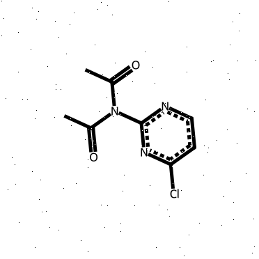 CC(=O)N(C(C)=O)c1nccc(Cl)n1